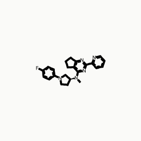 CN(c1nc(-c2ccccn2)nc2c1CCC2)[C@H]1CCN(c2ccc(F)cc2)C1